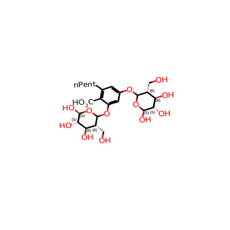 CCCCCc1cc(OC2O[C@H](O)[C@@H](O)[C@H](O)[C@H]2CO)cc(OC2O[C@H](O)[C@@H](O)[C@H](O)[C@H]2CO)c1C(=O)O